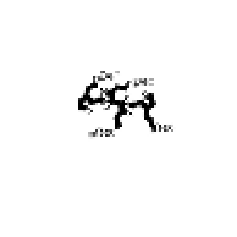 CCCCCCCCCCCCc1ccsc1-c1nc(CCCCCCCCCCCC)c(-c2sc(-c3sccc3CCCCCCCCCCCC)nc2CCCCCCCCCCCC)s1